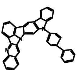 c1ccc(-c2ccc(-n3c4ccccc4c4cc5c6cccc7c8nc9ccccc9cc8n(c5cc43)c67)cc2)cc1